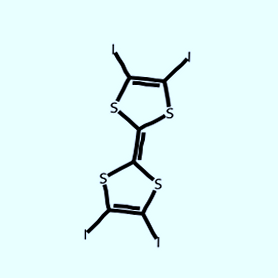 IC1=C(I)SC(=C2SC(I)=C(I)S2)S1